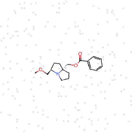 COC[C@H]1CC[C@@]2(COC(=O)c3ccccc3)CCCN12